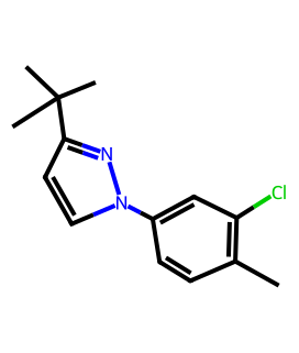 Cc1ccc(-n2ccc(C(C)(C)C)n2)cc1Cl